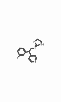 Fc1cccc(C(CN=C2NCCN2)c2ccncc2)c1